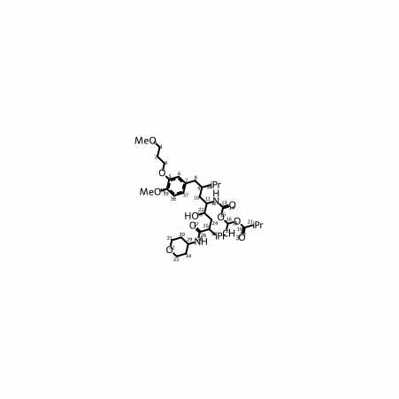 COCCCOc1cc(CC(CC(NC(=O)OC(C)OC(=O)C(C)C)C(O)CC(C(=O)NC2CCOCC2)C(C)C)C(C)C)ccc1OC